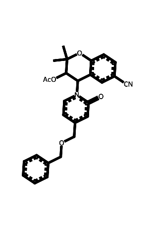 CC(=O)OC1C(n2ccc(COCc3ccccc3)cc2=O)c2cc(C#N)ccc2OC1(C)C